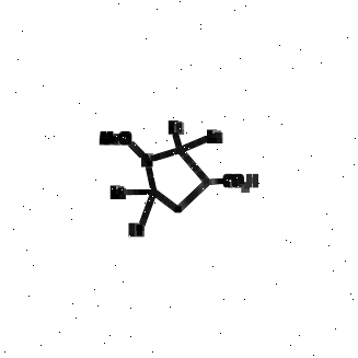 CCC1(CC)CC(C(=O)O)C(CC)(CC)N1OC